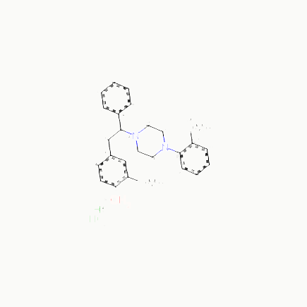 COc1cccc(CC(c2ccccc2)N2CCN(c3ccccc3OC)CC2)c1.Cl.Cl.O